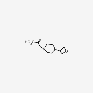 C=C(CN1CCN(C2COC2)CC1)C(=O)O